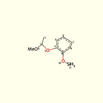 COC(C)Oc1ccccc1O[SiH3]